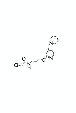 O=C(CCl)NCCCOc1cc(CN2CCCCC2)ccn1